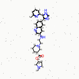 Cc1cccc(-c2[nH]cnc2-c2ccc3ncc(NCCN4CCC[C@@H](C(=O)O[C@@H]5CCN(C)C5)C4)cc3c2)n1